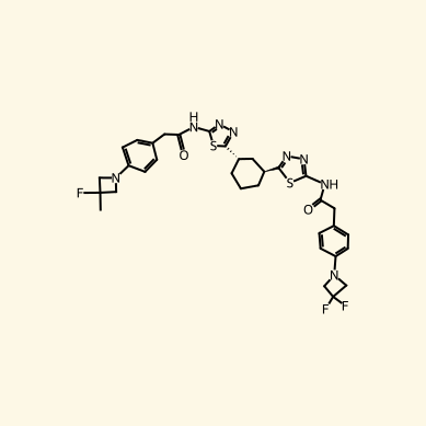 CC1(F)CN(c2ccc(CC(=O)Nc3nnc([C@H]4CCC[C@H](c5nnc(NC(=O)Cc6ccc(N7CC(F)(F)C7)cc6)s5)C4)s3)cc2)C1